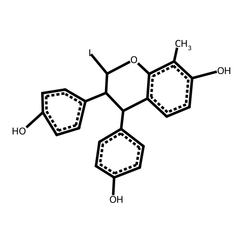 Cc1c(O)ccc2c1OC(I)C(c1ccc(O)cc1)C2c1ccc(O)cc1